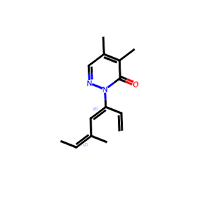 C=C/C(=C\C(C)=C/C)n1ncc(C)c(C)c1=O